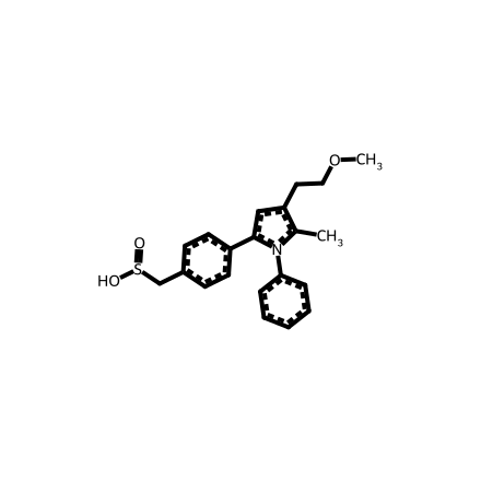 COCCc1cc(-c2ccc(CS(=O)O)cc2)n(-c2ccccc2)c1C